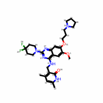 COc1cc2c(NCc3c(C)cc(C)[nH]c3=O)nc(N3CCC(F)(F)CC3)nc2cc1OCCCN1CCCC1